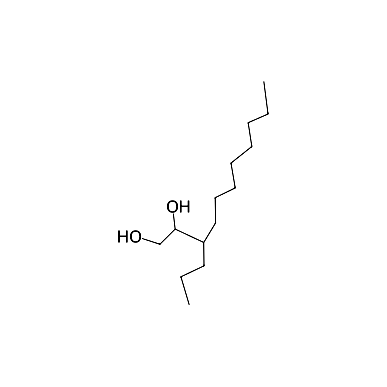 CCCCCCCCC(CCC)C(O)CO